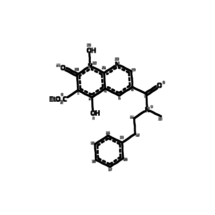 CCOC(=O)c1c(O)c2cc(C(=O)N(C)CCc3ccccc3)cnc2n(O)c1=O